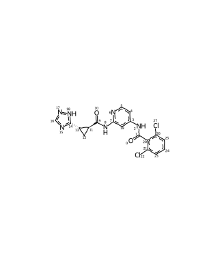 O=C(Nc1ccnc(NC(=O)[C@H]2C[C@@H]2c2ncn[nH]2)c1)c1c(Cl)cccc1Cl